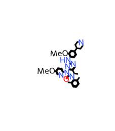 COc1ccc(N2C(=O)N(c3c(C)c#ccc3C)C(C)c3cnc(Nc4ccc(C5CCN(C)CC5)cc4OC)nc32)nc1